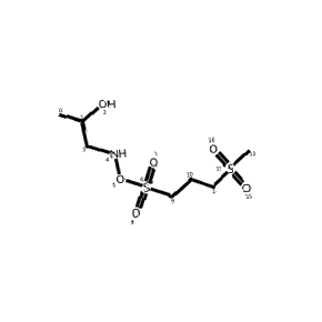 CC(O)CNOS(=O)(=O)CCCS(C)(=O)=O